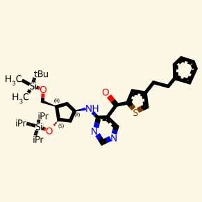 CC(C)[Si](O[C@H]1C[C@H](Nc2ncncc2C(=O)c2cc(CCc3ccccc3)cs2)C[C@@H]1CO[Si](C)(C)C(C)(C)C)(C(C)C)C(C)C